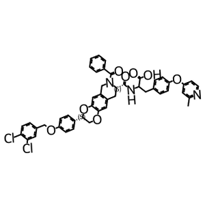 Cc1cc(Oc2ccc(CC(NC(=O)[C@@H]3Cc4cc5c(cc4CN3C(=O)c3ccccc3)O[C@@H](c3ccc(OCc4ccc(Cl)c(Cl)c4)cc3)CO5)C(=O)O)cc2)ccn1